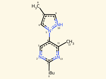 CCC(C)c1ncc(-[n+]2cc(C)c[nH]2)c(C)n1